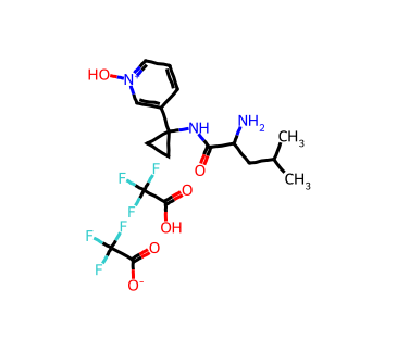 CC(C)CC(N)C(=O)NC1(c2ccc[n+](O)c2)CC1.O=C(O)C(F)(F)F.O=C([O-])C(F)(F)F